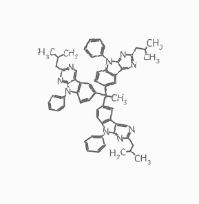 CC(C)Cc1ncc2c3cc(C(C)(c4ccc5c(c4)c4cnc(CC(C)C)nc4n5-c4ccccc4)c4ccc5c(c4)c4cnc(CC(C)C)nc4n5-c4ccccc4)ccc3n(-c3ccccc3)c2n1